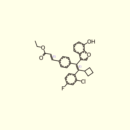 CCOC(=O)/C=C/c1ccc(/C(=C(\c2ccc(F)cc2Cl)C2CCC2)c2coc3c(O)cccc23)cc1